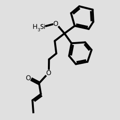 CC=CC(=O)OCCCC(O[SiH3])(c1ccccc1)c1ccccc1